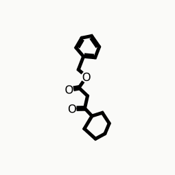 O=C(CC(=O)C1CCCCC1)OCc1ccccc1